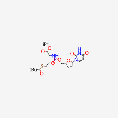 CC(C)OC(=O)CNP(OCCSC(=O)C(C)(C)C)OCC1CCC(n2ccc(=O)[nH]c2=O)O1